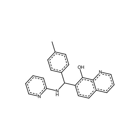 Cc1ccc(C(Nc2ccccn2)c2ccc3cccnc3c2O)cc1